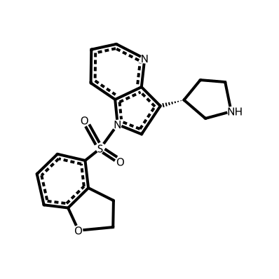 O=S(=O)(c1cccc2c1CCO2)n1cc([C@@H]2CCNC2)c2ncccc21